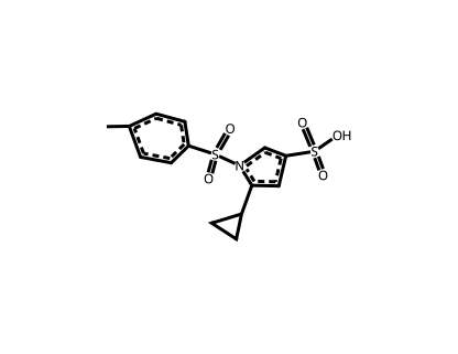 Cc1ccc(S(=O)(=O)n2cc(S(=O)(=O)O)cc2C2CC2)cc1